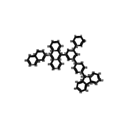 c1cncc(-c2cc(-c3c4ccccc4c(-c4ccc5ccccc5c4)c4ccccc34)cc(-c3ccc(-n4c5ccccc5c5cnccc54)cc3)n2)c1